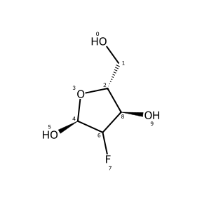 OC[C@H]1O[C@H](O)C(F)[C@@H]1O